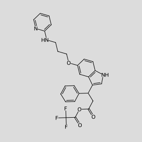 O=C(CC(c1ccccc1)c1c[nH]c2ccc(OCCCNc3ccccn3)cc12)OC(=O)C(F)(F)F